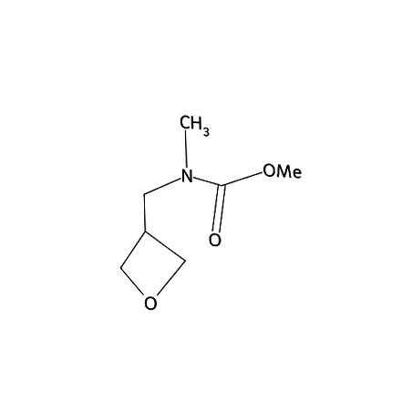 COC(=O)N(C)CC1COC1